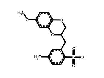 COc1ccc2c(c1)OC(Cc1cc(C)ccc1S(=O)(=O)O)CO2